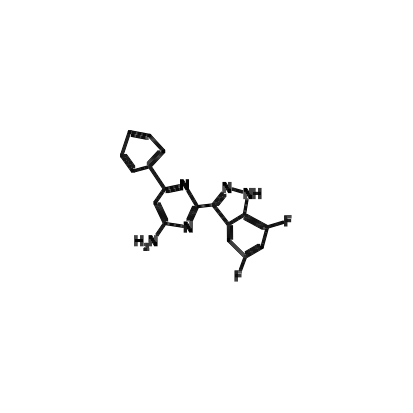 Nc1cc(-c2ccccc2)nc(-c2n[nH]c3c(F)cc(F)cc23)n1